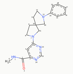 CNC(=O)c1cc(N2CCC3(CCN(c4ccccc4)C3)C2)ncn1